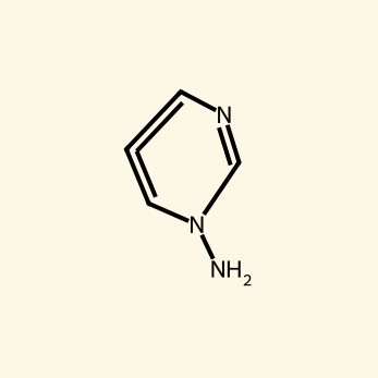 NN1C=C=CN=C1